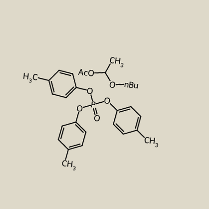 CCCCOC(C)OC(C)=O.Cc1ccc(OP(=O)(Oc2ccc(C)cc2)Oc2ccc(C)cc2)cc1